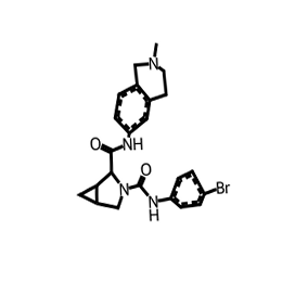 CN1CCc2cc(NC(=O)C3C4CC4CN3C(=O)Nc3ccc(Br)cc3)ccc2C1